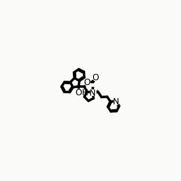 C[N+]1(CCCc2ccccn2)CCCC1C(OC=O)C1(O)c2ccccc2-c2ccccc21